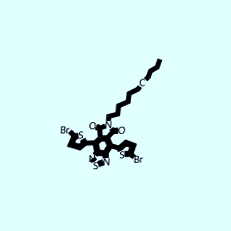 CCCCCCCCCCCN1C(=O)c2c(c(-c3ccc(Br)s3)c3nsnc3c2-c2ccc(Br)s2)C1=O